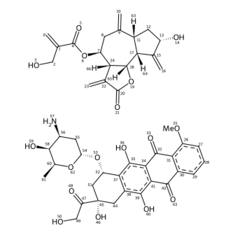 C=C(CO)C(=O)O[C@H]1CC(=C)[C@@H]2C[C@H](O)C(=C)[C@@H]2[C@@H]2OC(=O)C(=C)[C@@H]21.COc1cccc2c1C(=O)c1c(O)c3c(c(O)c1C2=O)C[C@@](O)(C(=O)CO)C[C@@H]3O[C@H]1C[C@H](N)[C@H](O)[C@H](C)O1